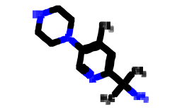 Cc1cc(C(C)(C)N)ncc1N1CCNCC1